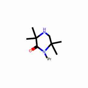 CC(C)N1C(=O)C(C)(C)NCC1(C)C